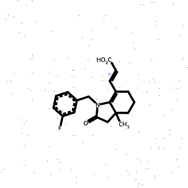 CC12CCCC(/C=C/C(=O)O)=C1N(Cc1cccc(F)c1)C(=O)C2